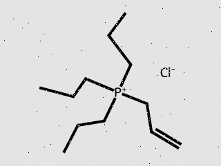 C=CC[P+](CCC)(CCC)CCC.[Cl-]